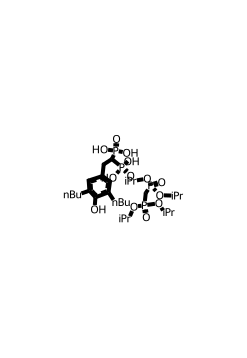 CC(C)OP(=O)(CP(=O)(OC(C)C)OC(C)C)OC(C)C.CCCCc1cc(CC(P(=O)(O)O)P(=O)(O)O)cc(CCCC)c1O